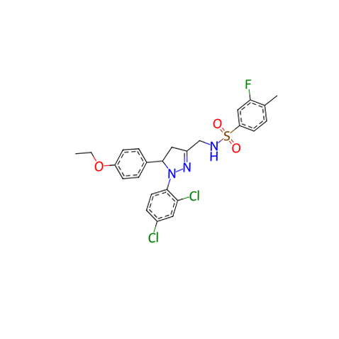 CCOc1ccc(C2CC(CNS(=O)(=O)c3ccc(C)c(F)c3)=NN2c2ccc(Cl)cc2Cl)cc1